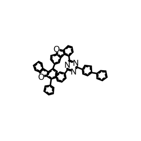 c1ccc(-c2ccc(-c3nc(-c4ccccc4)nc(-c4cccc5oc6ccc(-c7ccc(-c8ccccc8)c8oc9ccccc9c78)cc6c45)n3)cc2)cc1